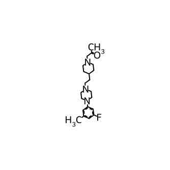 CC(=O)CN1CCC(CCN2CCN(c3cc(C)cc(F)c3)CC2)CC1